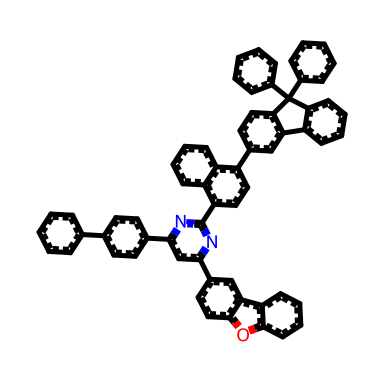 c1ccc(-c2ccc(-c3cc(-c4ccc5oc6ccccc6c5c4)nc(-c4ccc(-c5ccc6c(c5)-c5ccccc5C6(c5ccccc5)c5ccccc5)c5ccccc45)n3)cc2)cc1